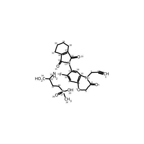 C#CCN1C(=O)COc2cc(F)c(N3C(=O)C4=C(CCCC4)C3=O)cc21.CP(=O)(O)CCC(N)C(=O)O